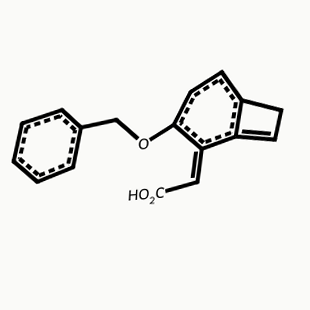 O=C(O)C=c1c(OCc2ccccc2)ccc2c1=CC2